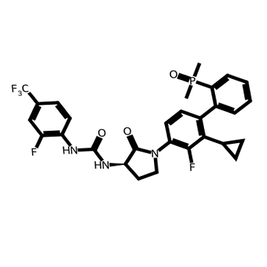 CP(C)(=O)c1ccccc1-c1ccc(N2CC[C@@H](NC(=O)Nc3ccc(C(F)(F)F)cc3F)C2=O)c(F)c1C1CC1